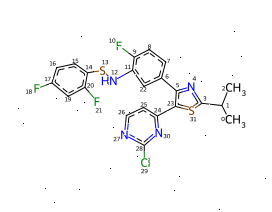 CC(C)c1nc(-c2ccc(F)c(NSc3ccc(F)cc3F)c2)c(-c2ccnc(Cl)n2)s1